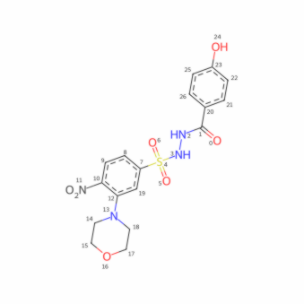 O=C(NNS(=O)(=O)c1ccc([N+](=O)[O-])c(N2CCOCC2)c1)c1ccc(O)cc1